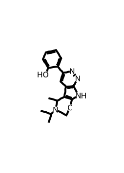 CC(C)N1CCc2[nH]c3nnc(-c4ccccc4O)cc3c2C1C